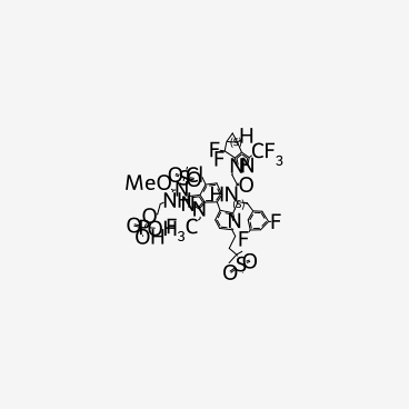 COC(NCCOP(=O)(O)O)N(c1nn(CC(F)(F)F)c2c(-c3ccc(CCC(C)(C)S(C)(=O)=O)nc3[C@H](Cc3cc(F)cc(F)c3)NC(=O)Cn3nc(C(F)(F)F)c4c3C(F)(F)C3C[C@H]43)ccc(Cl)c12)S(C)(=O)=O